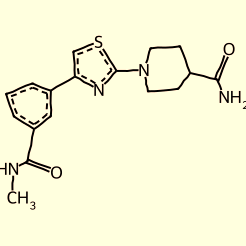 CNC(=O)c1cccc(-c2csc(N3CCC(C(N)=O)CC3)n2)c1